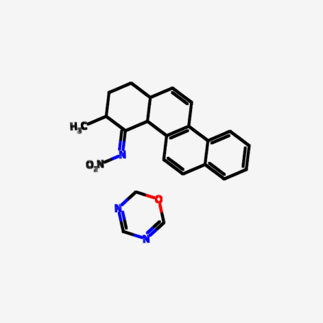 C1=NC=NCO1.CC1CCC2C=Cc3c(ccc4ccccc34)C2C1=N[N+](=O)[O-]